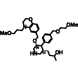 COCCCN1CCOc2ccc(CO[C@H]3CNC[C@@H](CCC(C)O)C3c3ccc(COCCOC)cc3)cc21